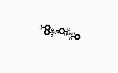 CN(C)c1cccc2c(S(=O)(=O)NCC3CCC(C(=O)NNC(=O)c4ccccc4)CC3)cccc12